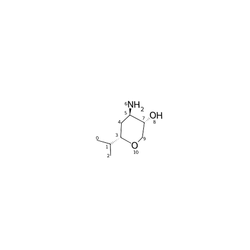 CC(C)[C@@H]1C[C@@H](N)[C@H](O)CO1